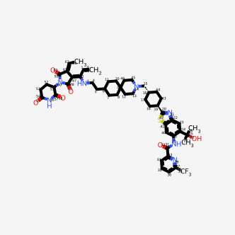 C=C/C(NCCC1CCC2(CC1)CCN(C[C@H]1CC[C@H](c3nc4cc(C(C)(C)O)c(NC(=O)c5cccc(C(F)(F)F)n5)cc4s3)CC1)CC2)=C1/C(=O)N(C2CCC(=O)NC2=O)C(=O)/C1=C/C